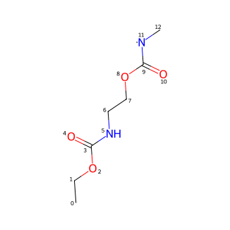 CCOC(=O)NCCOC(=O)[N]C